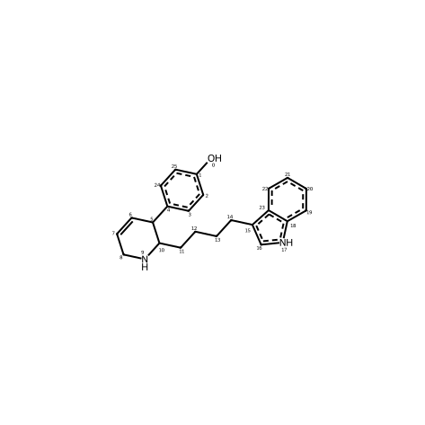 Oc1ccc(C2C=CCNC2CCCCc2c[nH]c3ccccc23)cc1